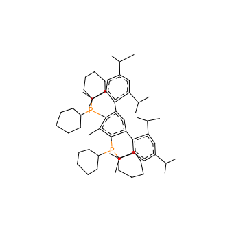 Cc1c(P(C2CCCCC2)C2CCCCC2)c(-c2c(C(C)C)cc(C(C)C)cc2C(C)C)cc(-c2c(C(C)C)cc(C(C)C)cc2C(C)C)c1P(C1CCCCC1)C1CCCCC1